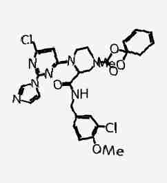 COc1ccc(CNC(=O)C2CN(C(=O)OC3(OC)C=CC=CC3)CCN2c2cc(Cl)nc(-n3ccnc3)n2)cc1Cl